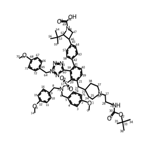 COc1ccc(CN(Cc2ccc(OC)cc2)S(=O)(=O)c2c(CC3CCN(CCNC(=O)OC(C)(C)C)CC3)ccc(-c3ccc(C4CN(C(=O)O)C4C(C)(C)C)cc3)c2-c2nnn(Cc3ccc(OC)cc3)n2)cc1